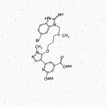 COC(=O)c1cc(OC)nc(-c2cnn(C)c2OCCC[C@@H](C)Cn2c(=N)[nH]c3ccc(Br)cc32)c1